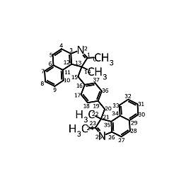 CC1=Nc2ccc3ccccc3c2C1(C)Cc1ccc(CC2(C)C(C)=Nc3ccc4ccccc4c32)cc1